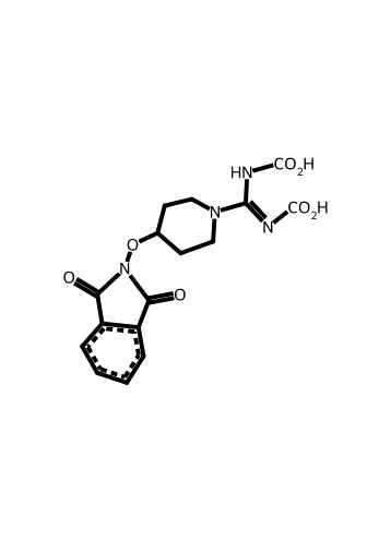 O=C(O)N=C(NC(=O)O)N1CCC(ON2C(=O)c3ccccc3C2=O)CC1